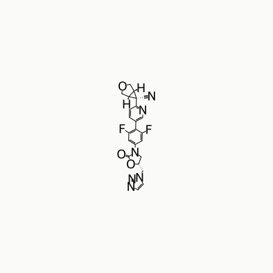 N#C[C@]1(c2ccc(-c3c(F)cc(N4C[C@H](Cn5ccnn5)OC4=O)cc3F)cn2)[C@@H]2COC[C@@H]21